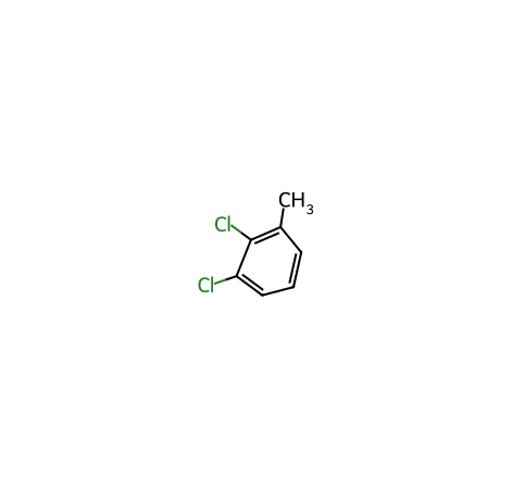 Cc1cccc(Cl)c1Cl